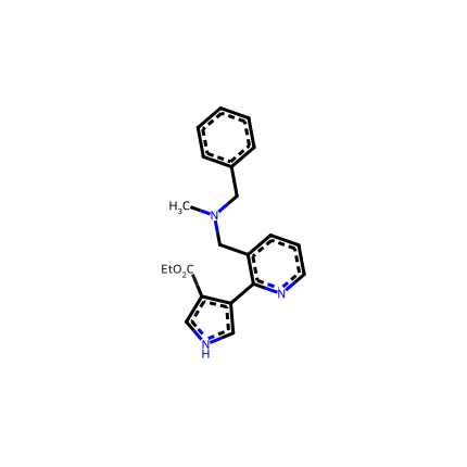 CCOC(=O)c1c[nH]cc1-c1ncccc1CN(C)Cc1ccccc1